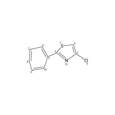 Clc1csc(-c2c[c]ccc2)n1